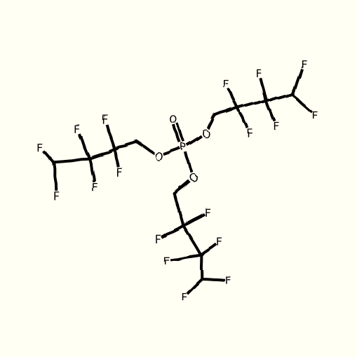 O=P(OCC(F)(F)C(F)(F)C(F)F)(OCC(F)(F)C(F)(F)C(F)F)OCC(F)(F)C(F)(F)C(F)F